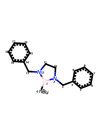 CCCCB1N(Cc2ccccc2)CCN1Cc1ccccc1